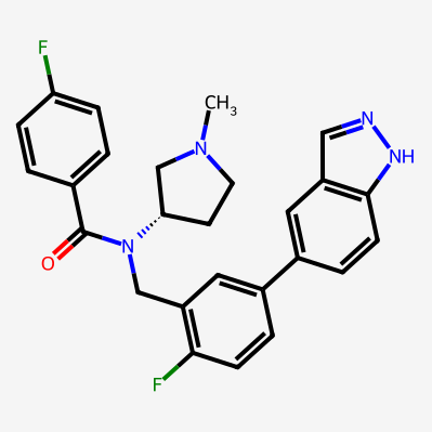 CN1CC[C@H](N(Cc2cc(-c3ccc4[nH]ncc4c3)ccc2F)C(=O)c2ccc(F)cc2)C1